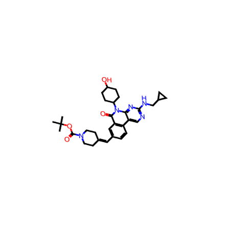 CC(C)(C)OC(=O)N1CCC(=Cc2ccc3c(c2)c(=O)n(C2CCC(O)CC2)c2nc(NCC4CC4)ncc32)CC1